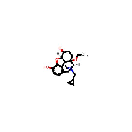 CCOC12CCC(=O)[C@@H]3Oc4c(O)ccc5c4[C@@]31CCN(CC1CC1)[C@@H]2C5